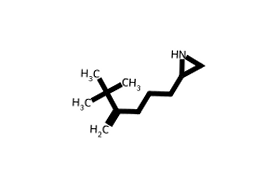 C=C(CCCC1CN1)C(C)(C)C